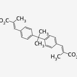 CC(=Cc1ccc(C(C)(C)c2ccc(C=C(C)C(=O)O)cc2)cc1)C(=O)O